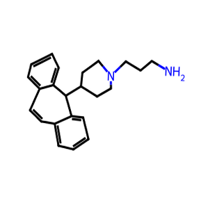 NCCCN1CCC(C2c3ccccc3C=Cc3ccccc32)CC1